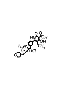 CCc1c(-c2ccc3c(c2)cc(CNCC2CCOCC2)n3C)[nH]c(=O)c(C(=O)O)c1O.Cl